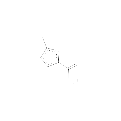 Cc1ccc(C(=O)C(=O)O)[nH]1